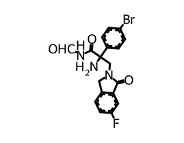 NC(CN1Cc2ccc(F)cc2C1=O)(C(=O)NC=O)c1ccc(Br)cc1